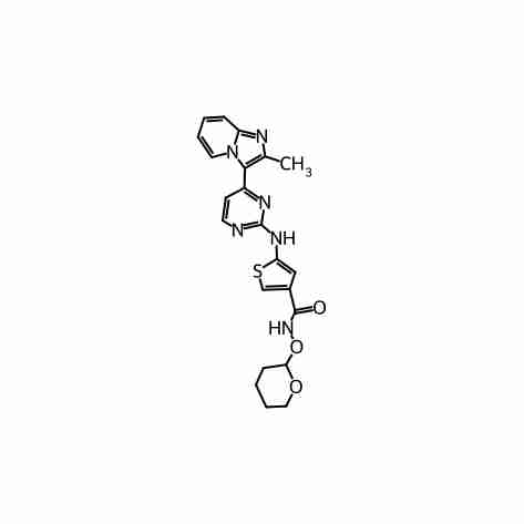 Cc1nc2ccccn2c1-c1ccnc(Nc2cc(C(=O)NOC3CCCCO3)cs2)n1